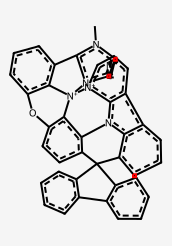 Cn1c2[n+](c3nccnc31)[N+]13c4c(cccc4-2)Oc2ccc4c(c21)-n1c2c(cccc2c2ccc[n+]3c21)C41c2ccccc2-c2ccccc21